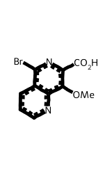 COc1c(C(=O)O)nc(Br)c2cccnc12